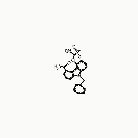 CS(=O)(=O)C(N=O)Oc1cccc2c1c1c(C(N)=O)cccc1n2Cc1ccccc1